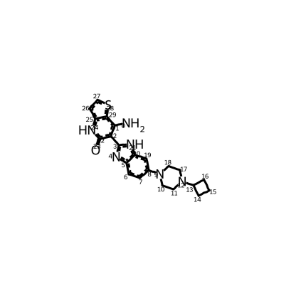 Nc1c(-c2nc3ccc(N4CCN(C5CCC5)CC4)cc3[nH]2)c(=O)[nH]c2ccsc12